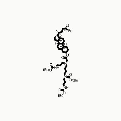 CC[C@H](CC[C@@H](C)[C@H]1CC[C@H]2[C@@H]3CC=C4C[C@@H](OC(=O)CN(CCCCN(CCCNC(=O)OC(C)(C)C)C(=O)OC(C)(C)C)CCCNC(=O)OC(C)(C)C)CC[C@]4(C)[C@H]3CC[C@]12C)C(C)C